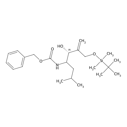 C=C(CO[Si](C)(C)C(C)(C)C)[C@@H](O)C(CC(C)C)NC(=O)OCc1ccccc1